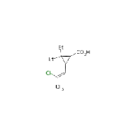 CCC1(CC)C(C=C(Cl)C(F)(F)F)C1C(=O)O